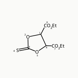 CCOC(=O)C1OC(=S)OC1C(=O)OCC